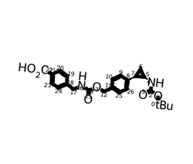 CC(C)(C)OC(=O)N[C@H]1C[C@@H]1c1ccc(COC(=O)NCc2ccc(C(=O)O)cc2)cc1